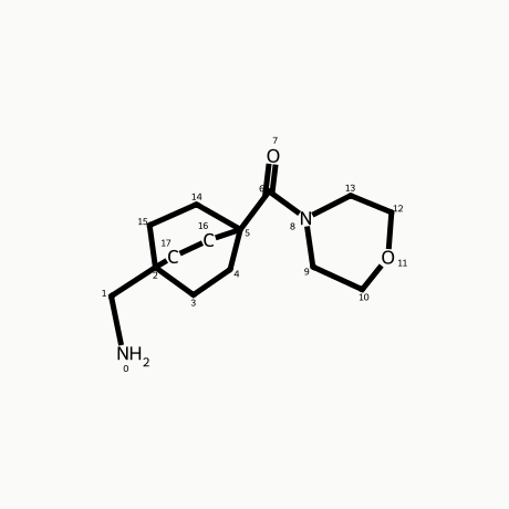 NCC12CCC(C(=O)N3CCOCC3)(CC1)CC2